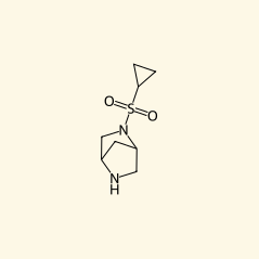 O=S(=O)(C1CC1)N1CC2CC1CN2